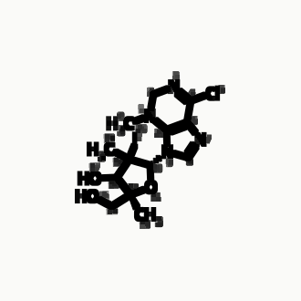 CN1CN=C(Cl)c2ncn([C@@H]3O[C@](C)(CO)C(O)C3(C)F)c21